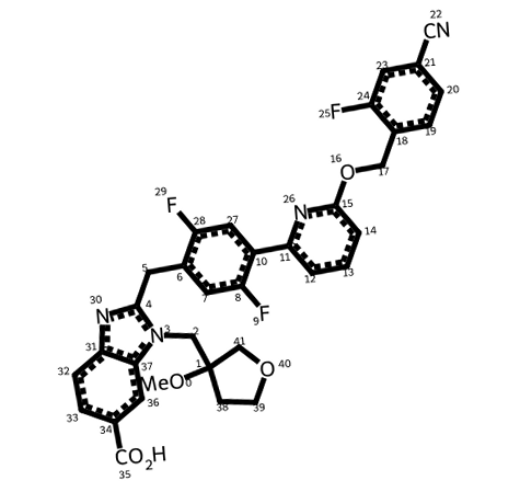 COC1(Cn2c(Cc3cc(F)c(-c4cccc(OCc5ccc(C#N)cc5F)n4)cc3F)nc3ccc(C(=O)O)cc32)CCOC1